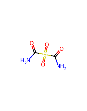 NC(=O)S(=O)(=O)C(N)=O